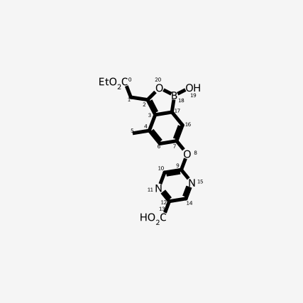 CCOC(=O)CC1=C2C(C)=CC(Oc3cnc(C(=O)O)cn3)=CC2B(O)O1